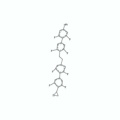 CCCc1cc(F)c(-c2cc(F)c(CCc3cc(F)c(-c4cc(F)c(C5CO5)c(F)c4)c(F)c3)c(F)c2)c(F)c1